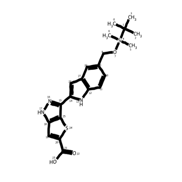 CC(C)(C)[Si](C)(C)OCc1ccc2[nH]c(-c3n[nH]c4cc(C(=O)O)sc34)cc2c1